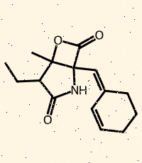 CCC1C(=O)NC2(/C=C3\C=CCCC3)C(=O)OC12C